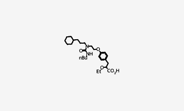 CCCCNC(=O)N(CCCC1CCCCC1)CCOc1ccc(CC(OCC)C(=O)O)cc1